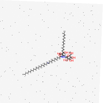 CCCCCCCCCCCCCCCCCC/C=C/CCCCCCCCC(=O)N[C@@H](/C=C/[C@H]1OC(CO)[C@H](O)C(O)[C@@H]1O)[C@H](O)[C@H](O)CCCCCCCCCCCCCC